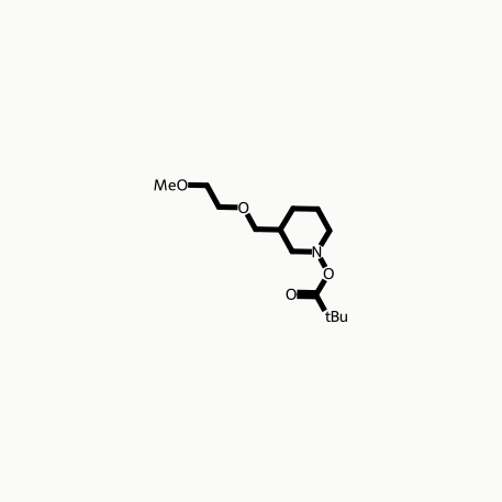 COCCOCC1CCCN(OC(=O)C(C)(C)C)C1